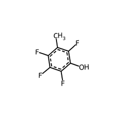 Cc1c(F)c(O)c(F)c(F)c1F